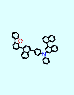 c1ccc(N(c2ccc(-c3ccc(-c4cccc5c4oc4ccccc45)c4ccccc34)cc2)c2cc(-c3cccc4ccccc34)c3ccccc3c2)cc1